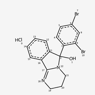 Cl.OC1(c2ccc(Br)cc2Br)c2ccccc2C2=NCCCN21